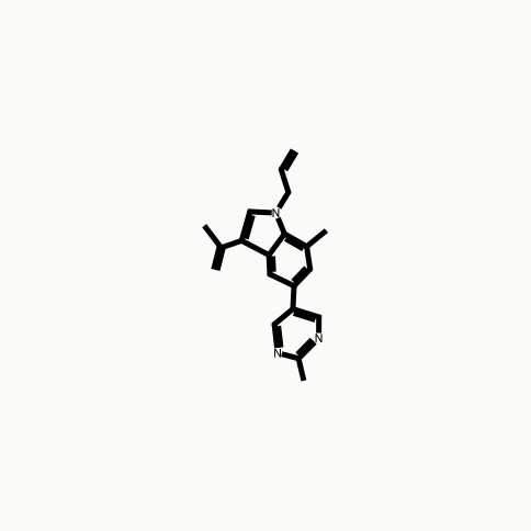 C=CCn1cc(C(=C)C)c2cc(-c3cnc(C)nc3)cc(C)c21